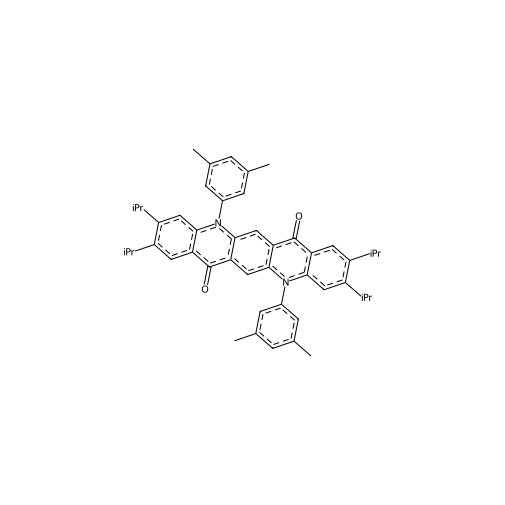 Cc1cc(C)cc(-n2c3cc(C(C)C)c(C(C)C)cc3c(=O)c3cc4c(cc32)c(=O)c2cc(C(C)C)c(C(C)C)cc2n4-c2cc(C)cc(C)c2)c1